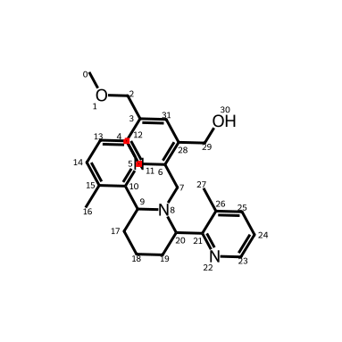 COCc1ccc(CN2C(c3ncccc3C)CCCC2c2ncccc2C)c(CO)c1